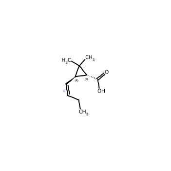 CC/C=C\[C@@H]1[C@@H](C(=O)O)C1(C)C